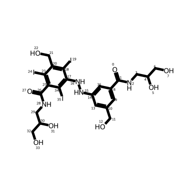 O=C(NCC(O)CO)c1cc(CO)cc(NNc2c(I)c(CO)c(I)c(C(=O)NCC(O)CO)c2I)c1